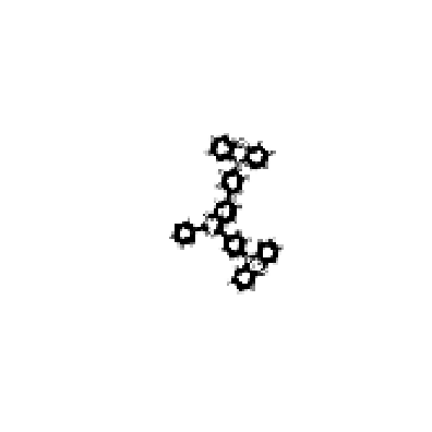 c1ccc(-c2nc(-c3ccc(N4c5ccccc5Oc5ccccc54)cc3)c3ccc(-c4ccc(N5c6ccccc6Oc6ccccc65)cc4)cc3n2)cc1